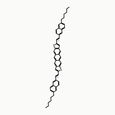 CCCCCCc1ccc2cc(/C=C/c3cc4cc5cc6cc7sc(/C=C/c8ccc9cc(CCCCCC)ccc9c8)cc7cc6cc5cc4s3)ccc2c1